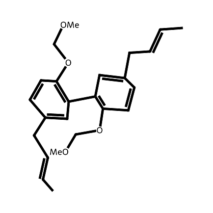 CC=CCc1ccc(OCOC)c(-c2cc(CC=CC)ccc2OCOC)c1